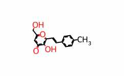 Cc1ccc(/C=C/c2oc(CO)cc(=O)c2O)cc1